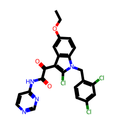 CCOc1ccc2c(c1)c(C(=O)C(=O)Nc1ccncn1)c(Cl)n2Cc1ccc(Cl)cc1Cl